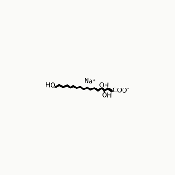 O=C([O-])C=CC(O)C(O)CCCCCCCCCCCCCO.[Na+]